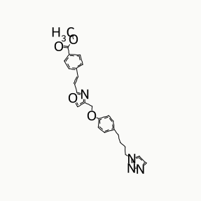 COC(=O)c1ccc(/C=C/c2nc(COc3ccc(CCCCn4ccnn4)cc3)co2)cc1